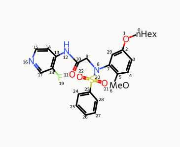 CCCCCCOc1ccc(OC)c(N(CC(=O)Nc2ccncc2F)S(=O)(=O)c2ccccc2)c1